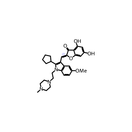 COc1ccc2c(c1)c(/C=C1\Oc3cc(O)cc(O)c3C1=O)c(C1CCCC1)n2CCN1CCN(C)CC1